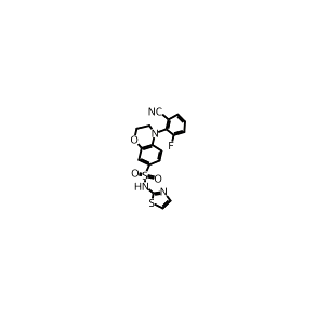 N#Cc1cccc(F)c1N1CCOc2cc(S(=O)(=O)Nc3nccs3)ccc21